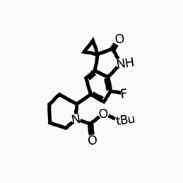 CC(C)(C)OC(=O)N1CCCCC1c1cc(F)c2c(c1)C1(CC1)C(=O)N2